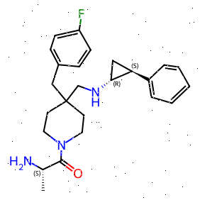 C[C@H](N)C(=O)N1CCC(CN[C@@H]2C[C@H]2c2ccccc2)(Cc2ccc(F)cc2)CC1